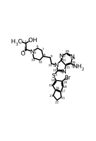 CC(O)C(=O)N1CCC(CCn2c(Sc3cc4c(cc3Br)CCC4)nc3c(N)ncnc32)CC1